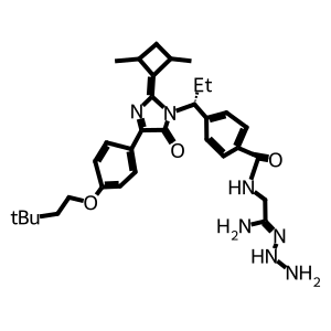 CC[C@H](c1ccc(C(=O)NC/C(N)=N/NN)cc1)N1C(=O)C(c2ccc(OCCC(C)(C)C)cc2)=NC1=C1C(C)CC1C